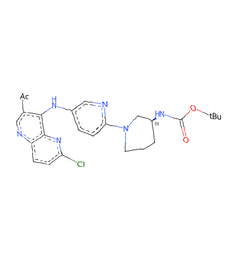 CC(=O)c1cnc2ccc(Cl)nc2c1Nc1ccc(N2CCC[C@H](NC(=O)OC(C)(C)C)C2)nc1